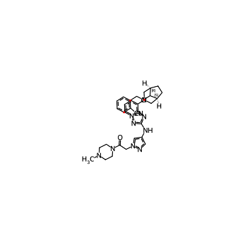 CN1CCN(C(=O)Cn2cc(Nc3nc4c(N5C[C@H]6CC[C@@H](C5)C6OCc5ccccc5C#N)cccn4n3)cn2)CC1